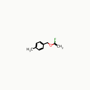 C=C(F)OCc1ccc(C)cc1